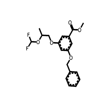 COC(=O)c1cc(OCc2ccccc2)cc(OCC(C)OC(F)F)c1